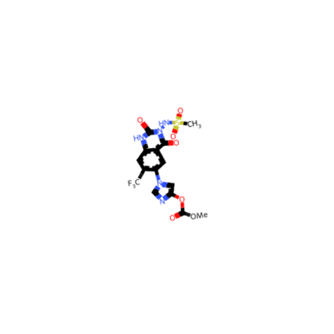 COC(=O)Oc1cn(-c2cc3c(=O)n(NS(C)(=O)=O)c(=O)[nH]c3cc2C(F)(F)F)cn1